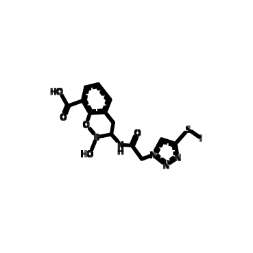 O=C(Cn1cc(SI)nn1)NC1Cc2cccc(C(=O)O)c2OB1O